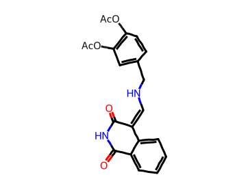 CC(=O)Oc1ccc(CN/C=C2\C(=O)NC(=O)c3ccccc32)cc1OC(C)=O